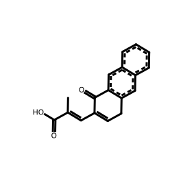 CC(=CC1=CCc2cc3ccccc3cc2C1=O)C(=O)O